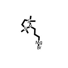 C[Si]1(C)CC[Si](C)(C)N1CC[CH2][Mg][Br]